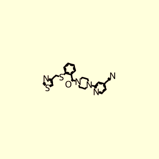 N#Cc1ccnc(N2CCN(C(=O)c3ccccc3SCc3cscn3)CC2)c1